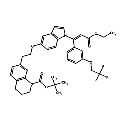 CCOC(=O)C=C(c1cncc(OCC(F)(F)F)c1)n1ccc2cc(OCCc3ccc4c(n3)N(C(=O)OC(C)(C)C)CCC4)ccc21